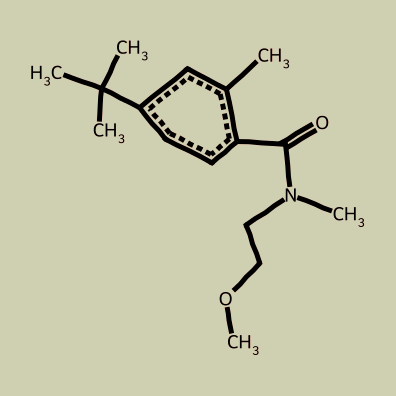 COCCN(C)C(=O)c1ccc(C(C)(C)C)cc1C